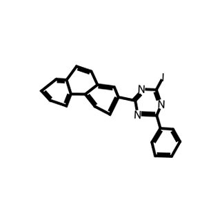 Ic1nc(-c2ccccc2)nc(-c2ccc3c(ccc4ccccc43)c2)n1